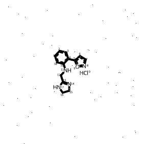 Cl.c1ccc(-c2ccno2)c(NCC2=NCCN2)c1